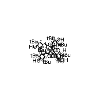 CC(C)(C)c1cc(C=C(CC(C)(C)C(C(=Cc2cc(C(C)(C)C)c(O)c(C(C)(C)C)c2)C(=O)O)(C(=Cc2cc(C(C)(C)C)c(O)c(C(C)(C)C)c2)C(=O)O)C(=Cc2cc(C(C)(C)C)c(O)c(C(C)(C)C)c2)C(=O)O)C(=O)O)cc(C(C)(C)C)c1O